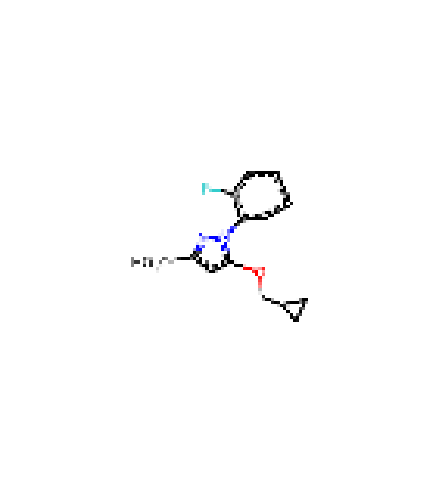 O=C(O)c1cc(OCC2CC2)n(-c2ccccc2F)n1